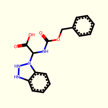 O=C(NC(C(=O)O)N1NNc2ccccc21)OCc1ccccc1